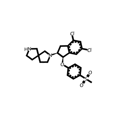 CS(=O)(=O)c1ccc(O[C@@H]2c3cc(Cl)cc(Cl)c3C[C@@H]2N2CCC3(CCNC3)C2)cc1